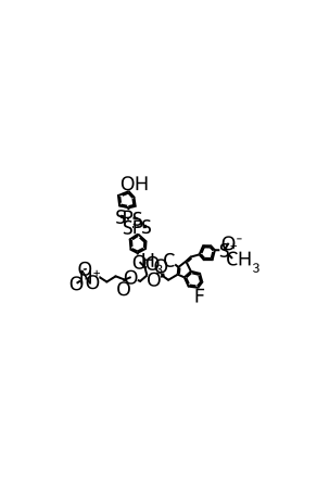 CC1=C(CC(=O)OC(COC(=O)CCCO[N+](=O)[O-])C(=O)Oc2ccc(P3(=S)SP(=S)(c4ccc(O)cc4)S3)cc2)c2cc(F)ccc2/C1=C\c1ccc([S+](C)[O-])cc1